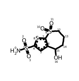 NS(=O)(=O)c1cc2c(s1)S(=O)(=O)CCCC2O